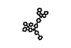 c1ccc(-c2ccc(N(c3ccc(-c4ccc(-n5c6ccc7ccccc7c6c6c7ccccc7ccc65)cc4)cc3)c3ccc4c(c3)C3(c5ccccc5-c5ccccc53)c3ccccc3-4)cc2)cc1